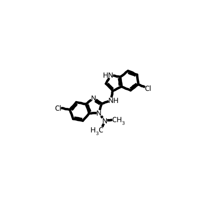 CN(C)n1c(Nc2c[nH]c3ccc(Cl)cc23)nc2cc(Cl)ccc21